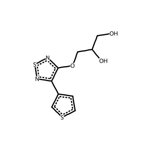 OCC(O)COc1nsnc1-c1ccsc1